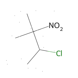 CC(Cl)C(C)(C)[N+](=O)[O-]